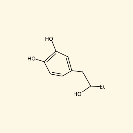 CCC(O)Cc1ccc(O)c(O)c1